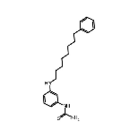 NC(=S)Nc1cccc(NCCCCCCCCc2ccccc2)c1